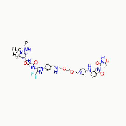 C=N/C(=C\C(=C/C)c1nc(C(=O)Nc2cn(-c3ccc(CNCCOCCOCCN4CCC(Nc5cccc6c5CN(C5CCC(=O)NC5=O)C6=O)CC4)cc3)nc2C(F)F)co1)NCC1CC1